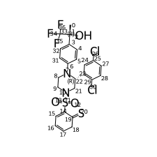 C[C@@](O)(c1ccc(N2CCN(S(=O)(=O)C3=CC=CCC3=S)C[C@H]2c2cc(Cl)ccc2Cl)cc1)C(F)(F)F